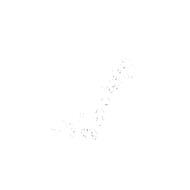 COC(=O)NC(C)C(=O)N1CCC[C@H]1c1ncc(-c2ccc(-c3ccc4cc(-c5cnc([C@@H]6CCCN6C(=O)C(NC(=O)OC)C(C)C)[nH]5)ccc4c3)cc2)[nH]1